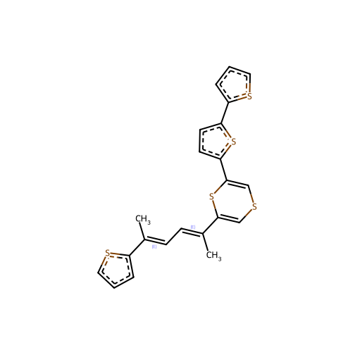 C/C(=C\C=C(/C)c1cccs1)C1=CSC=C(c2ccc(-c3cccs3)s2)S1